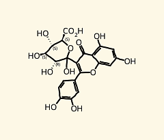 O=C(O)[C@H]1OC(O)(c2c(-c3ccc(O)c(O)c3)oc3cc(O)cc(O)c3c2=O)[C@H](O)[C@@H](O)[C@@H]1O